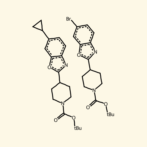 CC(C)(C)OC(=O)N1CCC(c2nc3ccc(Br)cc3o2)CC1.CC(C)(C)OC(=O)N1CCC(c2nc3ccc(C4CC4)cc3o2)CC1